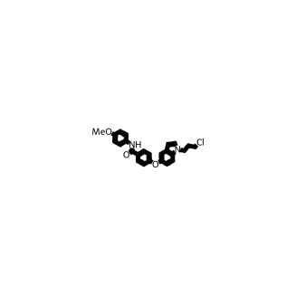 COc1ccc(NC(=O)c2ccc(Oc3ccc4c(ccn4CCCCl)c3)cc2)cc1